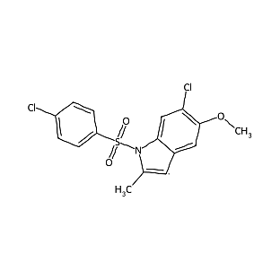 COc1cc2[c]c(C)n(S(=O)(=O)c3ccc(Cl)cc3)c2cc1Cl